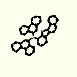 c1ccc2c(c1)cc(N(c1cc3ccccc3c3ccccc13)c1cccc3c1oc1c4ccccc4ccc31)c1ccccc12